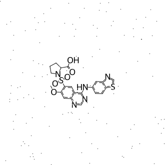 COc1cc2ncnc(Nc3ccc4scnc4c3)c2cc1S(=O)(=O)N1CCCC1C(=O)O